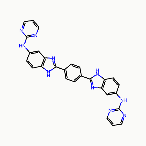 c1cnc(Nc2ccc3[nH]c(-c4ccc(-c5nc6cc(Nc7ncccn7)ccc6[nH]5)cc4)nc3c2)nc1